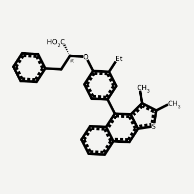 CCc1cc(-c2c3ccccc3cc3sc(C)c(C)c23)ccc1O[C@H](Cc1ccccc1)C(=O)O